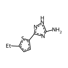 [CH2]Cc1ccc(-c2n[nH]c(N)n2)s1